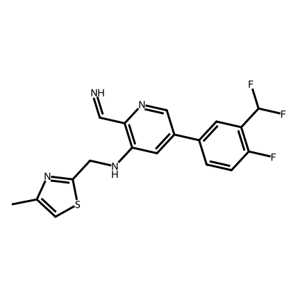 Cc1csc(CNc2cc(-c3ccc(F)c(C(F)F)c3)cnc2C=N)n1